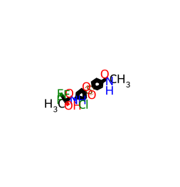 CNC(=O)c1ccc(S(=O)(=O)c2ccc(NC(=O)C(C)(O)C(F)(F)F)c(Cl)c2)cc1